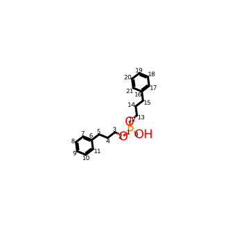 OP(OCCCc1ccccc1)OCCCc1ccccc1